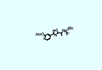 COc1cc(-c2nsc(C(C)=N[S@+]([O-])C(C)(C)C)n2)ccn1